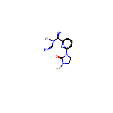 CCCN1CCN(c2cccc(C(=N)N(C=N)C(C)C)n2)C1=O